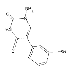 Nn1cc(-c2cccc(S)c2)c(=O)[nH]c1=O